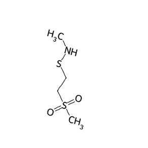 CNSCCS(C)(=O)=O